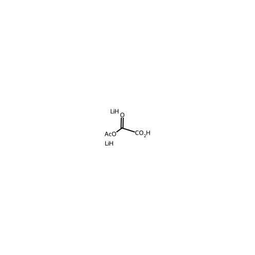 CC(=O)OC(=O)C(=O)O.[LiH].[LiH]